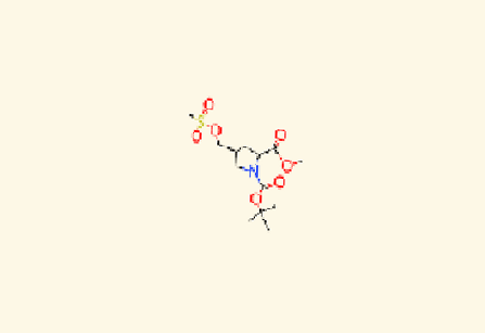 COC(=O)C1CC(COS(C)(=O)=O)CN1C(=O)OC(C)(C)C